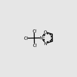 ClC(Cl)(Cl)[n+]1ncco1